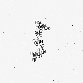 C[C@@H](NC(=O)c1ccnc(CNC(=O)CCC(=O)NC(CSC2CC(=O)N(c3ccc(-c4c5ccc(=O)cc-5oc5cc(O)ccc45)c(C(=O)O)c3)C2=O)C(=O)O)c1)C(=O)N1CC(F)(F)C[C@H]1N